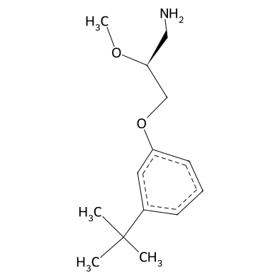 CO[C@@H](CN)COc1cccc(C(C)(C)C)c1